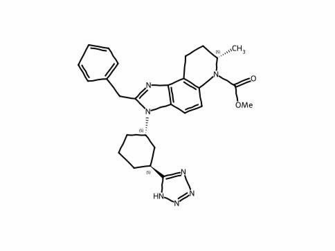 COC(=O)N1c2ccc3c(nc(Cc4ccccc4)n3[C@H]3CCC[C@H](c4nnn[nH]4)C3)c2CC[C@@H]1C